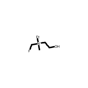 CC[N+](C)(CF)CCO